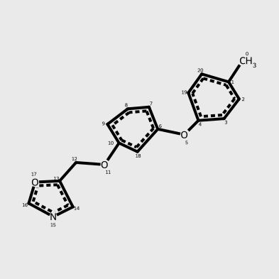 Cc1ccc(Oc2cccc(OCc3cnco3)c2)cc1